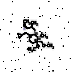 C=C(/C=C\C)C[C@@H]1[C@H](C)[C@](COC)(OC)CCN1CC1CC1